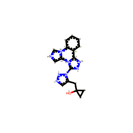 OC1(Cc2cnnn2-c2nnc3c4ccccc4n4cncc4n23)CC1